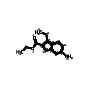 CCOC(=O)c1sc2cc(N)ccc2c1CC